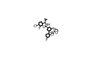 N=C1OCCN1Cc1cc(C(=O)N[C@H](c2ccc(Cl)c(F)c2)C2CC2)cc(-c2ccc(F)cc2Cl)c1